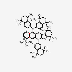 Cc1cc2c3c(c1)N(c1ccc4c(c1)C(C)(C)CCC4(C)C)c1oc4c(c1B3c1cc3c(cc1N2c1cc2c(cc1-c1ccc([Si](C)(C)C)cc1)C(C)(C)CCC2(C)C)C(C)(C)CCC3(C)C)C(C)(C)CCC4(C)C